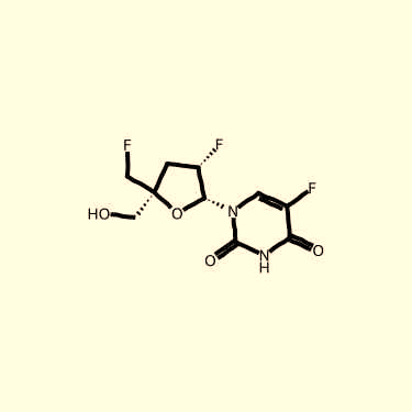 O=c1[nH]c(=O)n([C@@H]2O[C@@](CO)(CF)C[C@@H]2F)cc1F